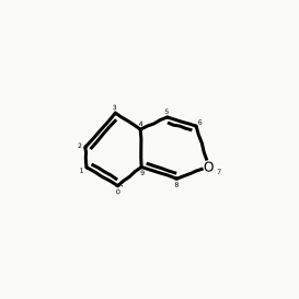 [C]1=CC=CC2C=COC=C12